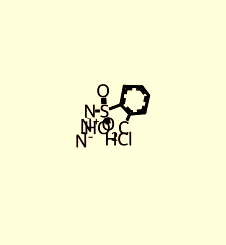 Cl.[N-]=[N+]=NS(=O)(=O)c1ccccc1C(=O)O